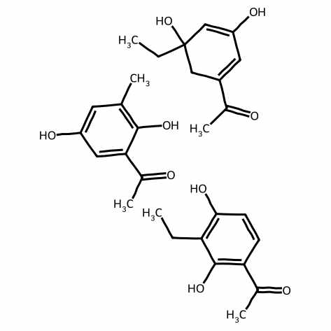 CC(=O)c1cc(O)cc(C)c1O.CCC1(O)C=C(O)C=C(C(C)=O)C1.CCc1c(O)ccc(C(C)=O)c1O